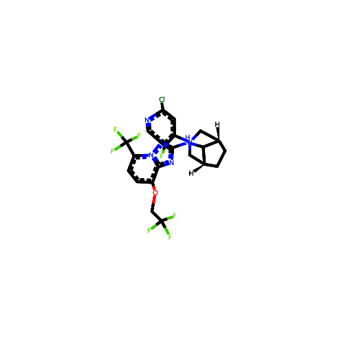 Fc1cnc(Cl)cc1N1C[C@H]2CC[C@@H](C1)C2Nc1nc2c(OCC(F)(F)F)ccc(C(F)(F)F)n2n1